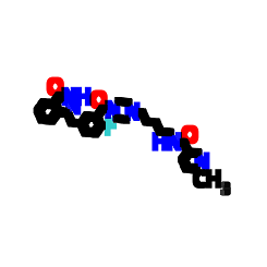 Cc1ccc(C(=O)NCCCCCN2CCN(C(=O)c3cc(Cc4n[nH]c(=O)c5ccccc45)ccc3F)CC2)cn1